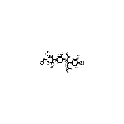 CCN1N=C(c2ccc3c(c2)CCCN3C(=NC(C)C)c2ccc(Cl)c(Cl)c2)C(C)(C)SC1C=O